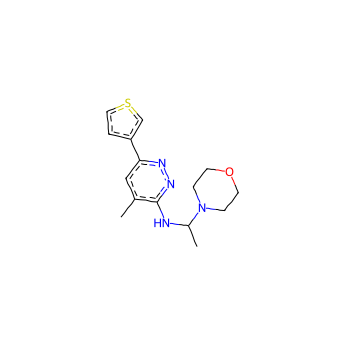 Cc1cc(-c2ccsc2)nnc1NC(C)N1CCOCC1